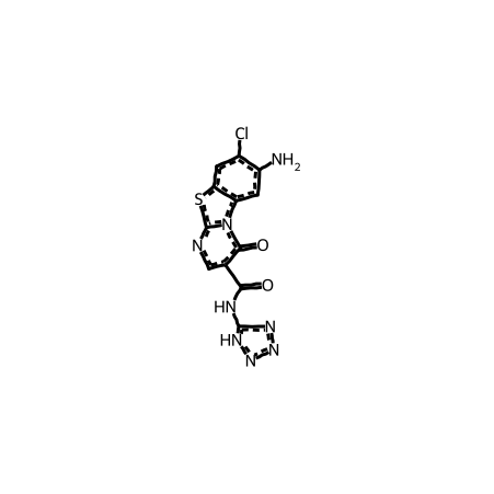 Nc1cc2c(cc1Cl)sc1ncc(C(=O)Nc3nnn[nH]3)c(=O)n12